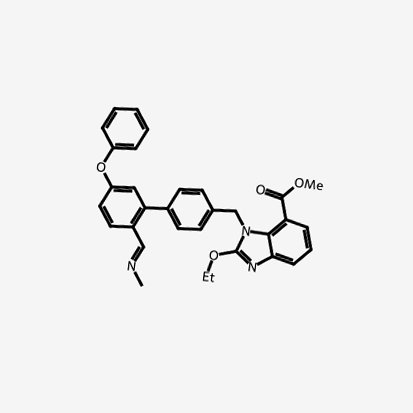 CCOc1nc2cccc(C(=O)OC)c2n1Cc1ccc(-c2cc(Oc3ccccc3)ccc2/C=N/C)cc1